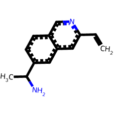 C=Cc1cc2cc(C(C)N)ccc2cn1